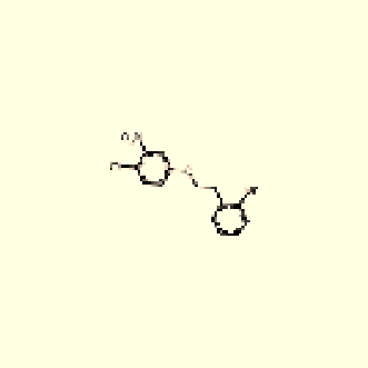 O=[N+]([O-])c1cc(OCCc2ccccc2Br)ccc1Cl